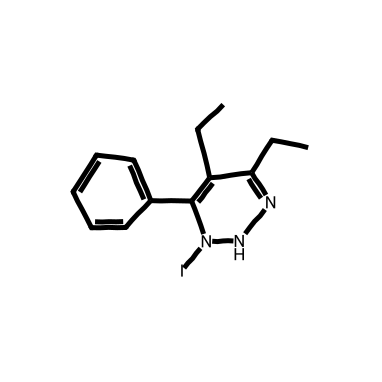 CCC1=NNN(I)C(c2ccccc2)=C1CC